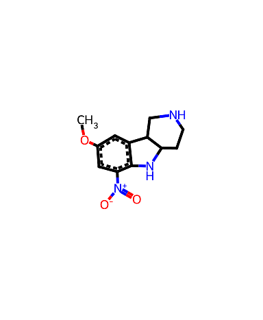 COc1cc2c(c([N+](=O)[O-])c1)NC1CCNCC21